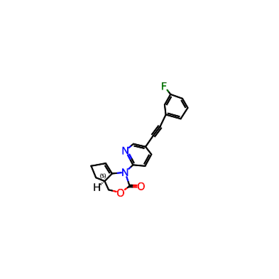 O=C1OC[C@H]2CCC=C2N1c1ccc(C#Cc2cccc(F)c2)cn1